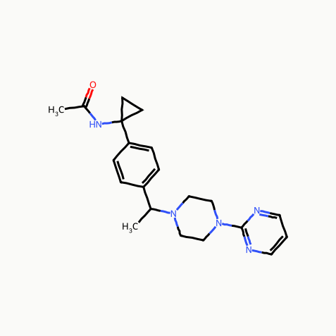 CC(=O)NC1(c2ccc(C(C)N3CCN(c4ncccn4)CC3)cc2)CC1